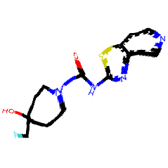 O=C(Nc1nc2cnccc2s1)N1CCC(O)(CF)CC1